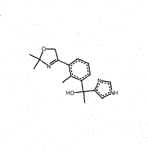 Cc1c(C2=NC(C)(C)OC2)cccc1C(C)(O)c1c[nH]cn1